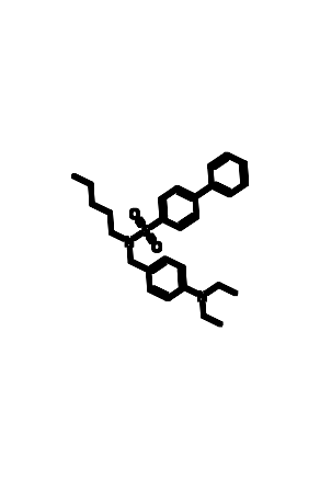 CCCCCN(Cc1ccc(N(CC)CC)cc1)S(=O)(=O)c1ccc(-c2ccccc2)cc1